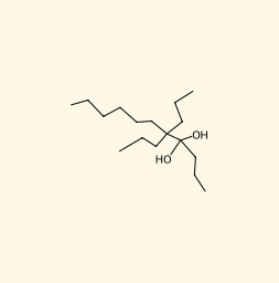 CCCCCCC(CCC)(CCC)C(O)(O)CCC